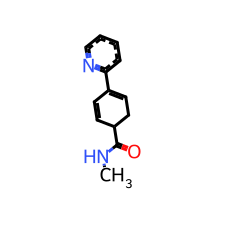 CNC(=O)C1C=CC(c2ccccn2)=CC1